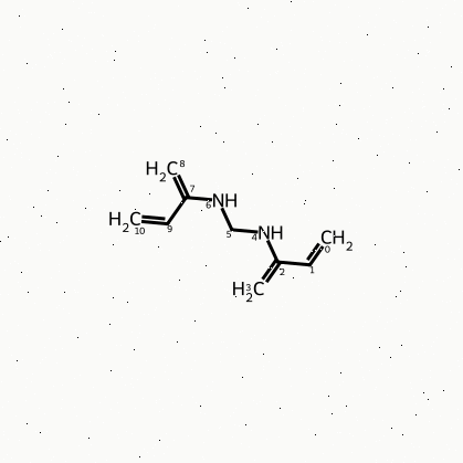 C=CC(=C)NCNC(=C)C=C